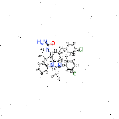 NC(=O)N1CCC(c2ccccc2-n2c(C3CC3)nc3c(Cc4ccc(Cl)cc4)c(Cc4ccc(Cl)cc4)ccc32)CC1